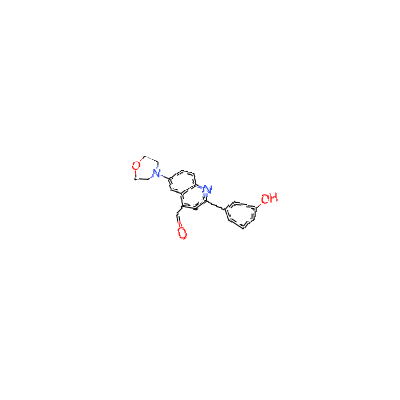 O=Cc1cc(-c2cccc(O)c2)nc2ccc(N3CCOCC3)cc12